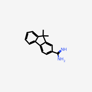 CC1(C)c2ccccc2-c2ccc(C(=N)N)cc21